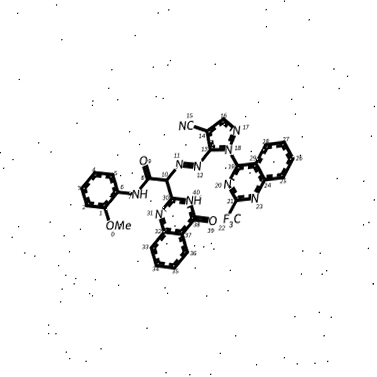 COc1ccccc1NC(=O)C(N=Nc1c(C#N)cnn1-c1nc(C(F)(F)F)nc2ccccc12)c1nc2ccccc2c(=O)[nH]1